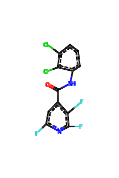 O=C(Nc1cccc(Cl)c1Cl)c1cc(F)nc(F)c1F